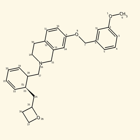 COc1cccc(COc2ccc3c(c2)CN(CC2C=CC=C[C@@H]2CC2CCO2)CC3)c1